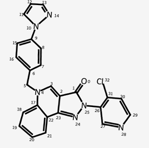 O=c1c2cn(Cc3ccc(-n4cccn4)cc3)c3ccccc3c-2nn1-c1cnccc1Cl